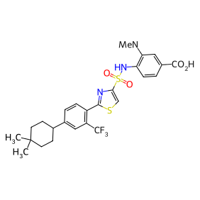 CNc1cc(C(=O)O)ccc1NS(=O)(=O)c1csc(-c2ccc(C3CCC(C)(C)CC3)cc2C(F)(F)F)n1